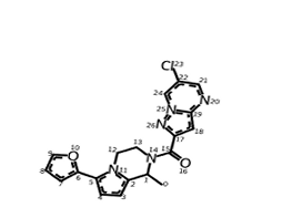 CC1c2ccc(-c3ccco3)n2CCN1C(=O)c1cc2ncc(Cl)cn2n1